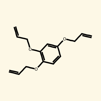 C=CCOc1ccc(OCC=C)c(OCC=C)c1